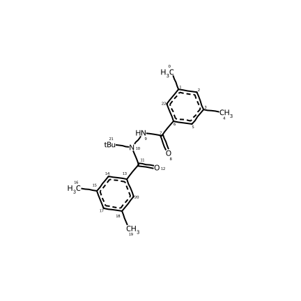 Cc1cc(C)cc(C(=O)NN(C(=O)c2cc(C)cc(C)c2)C(C)(C)C)c1